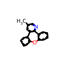 Cc1cnc2c(c1)-c1ccccc1Oc1ccccc1-2